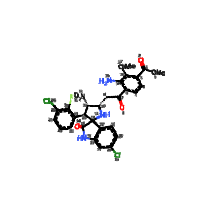 COC(=O)c1ccc(C(=O)C[C@@H]2N[C@@]3(C(=O)Nc4cc(Cl)ccc43)[C@@H](c3cccc(Cl)c3F)[C@@H]2[N+](=O)[O-])c(N)c1OC